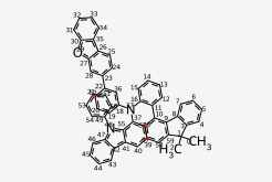 CC1(C)c2ccccc2-c2c(-c3ccccc3N(c3cccc(-c4ccc5c(c4)oc4ccccc45)c3)c3cccc4c5ccccc5n(-c5ccccc5)c34)cccc21